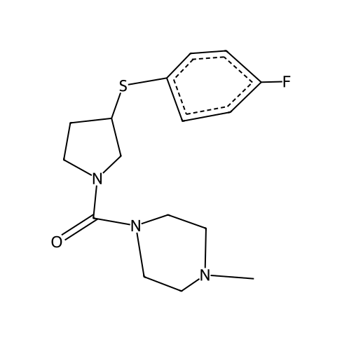 CN1CCN(C(=O)N2CCC(Sc3ccc(F)cc3)C2)CC1